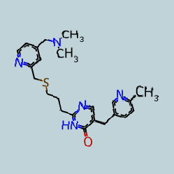 Cc1ccc(Cc2cnc(CCCSCc3cc(CN(C)C)ccn3)[nH]c2=O)cn1